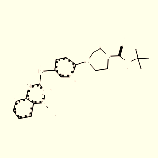 CC(C)(C)OC(=O)N1CCN(c2ccc(Nc3nc4ccccc4[n+]([O-])n3)cn2)CC1